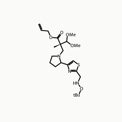 C=CCOC(=O)[C@@](C)(CN1CCCC1c1csc(CNOC(C)(C)C)n1)C(OC)OC